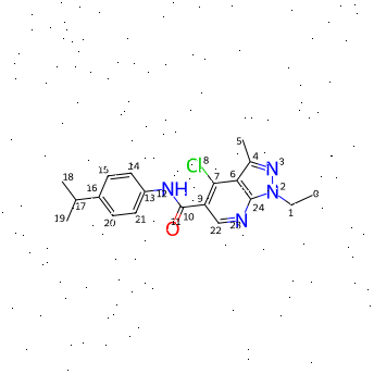 CCn1nc(C)c2c(Cl)c(C(=O)Nc3ccc(C(C)C)cc3)cnc21